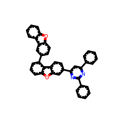 c1ccc(-c2cc(-c3ccc4c(c3)oc3cccc(-c5ccc6oc7ccccc7c6c5)c34)nc(-c3ccccc3)n2)cc1